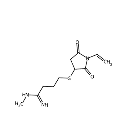 C=CN1C(=O)CC(SCCCC(=N)NC)C1=O